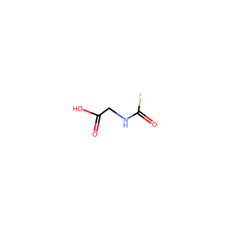 O=C(O)CNC(=O)F